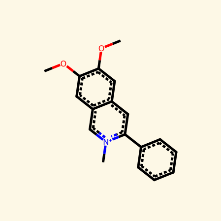 COc1cc2cc(-c3ccccc3)[n+](C)cc2cc1OC